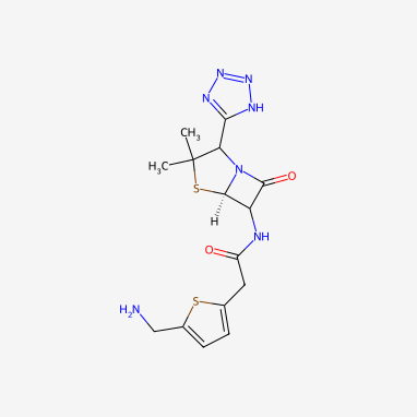 CC1(C)S[C@@H]2C(NC(=O)Cc3ccc(CN)s3)C(=O)N2C1c1nnn[nH]1